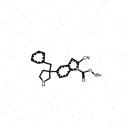 CC(C)(C)OC(=O)n1c(C#N)cc2cc(C3(Cc4ccccc4)CCNC3)ccc21